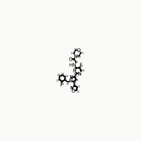 O=C(CNc1nc(-c2cc(-c3ccon3)n(Cc3ccccc3F)n2)ncc1F)N1CCOCC1